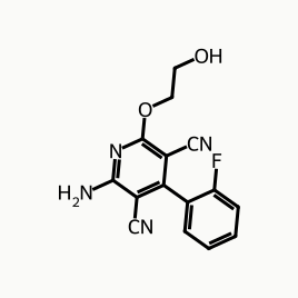 N#Cc1c(N)nc(OCCO)c(C#N)c1-c1ccccc1F